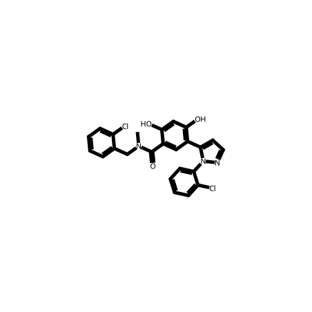 CN(Cc1ccccc1Cl)C(=O)c1cc(-c2ccnn2-c2ccccc2Cl)c(O)cc1O